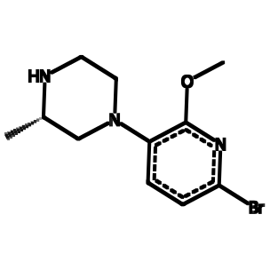 COc1nc(Br)ccc1N1CCN[C@@H](C)C1